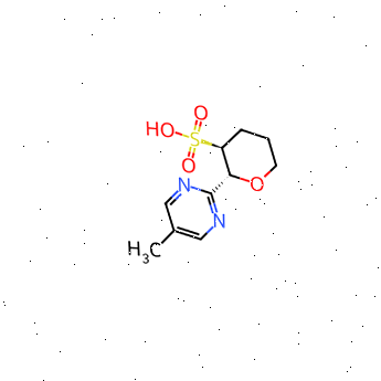 Cc1cnc([C@H]2OCCC[C@@H]2S(=O)(=O)O)nc1